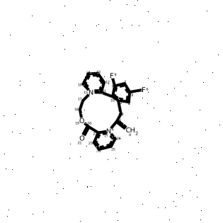 C=C1Cc2cc(F)cc(F)c2-c2cccc[n+]2CCOC(=O)c2cccc[n+]21